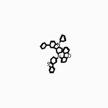 C1=CCC(N2C3C=CC(C4CC=CCC4)CC3C3CC(N(C4=Cc5c(sc6ccccc56)CC4)C4=CCCC5OC6C=CC=CC6C45)CCC32)C=C1